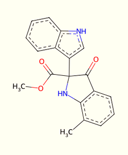 COC(=O)C1(c2c[nH]c3ccccc23)Nc2c(C)cccc2C1=O